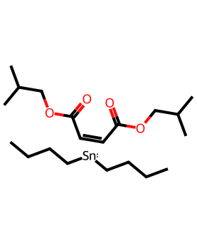 CC(C)COC(=O)/C=C\C(=O)OCC(C)C.CCC[CH2][Sn][CH2]CCC